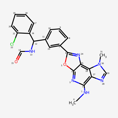 CNc1nc2oc(-c3cccc(C(NC=O)c4ccccc4Cl)c3)nc2c2c1ncn2C